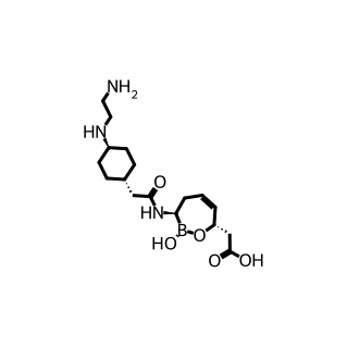 NCCN[C@H]1CC[C@H](CC(=O)N[C@H]2CC=C[C@H](CC(=O)O)OB2O)CC1